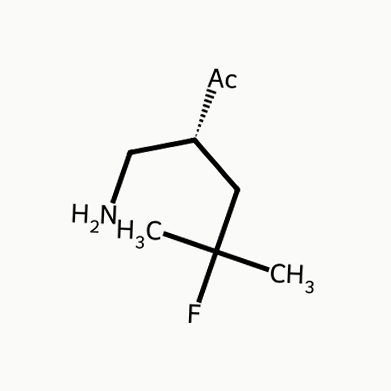 CC(=O)[C@@H](CN)CC(C)(C)F